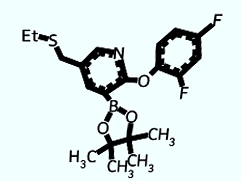 CCSCc1cnc(Oc2ccc(F)cc2F)c(B2OC(C)(C)C(C)(C)O2)c1